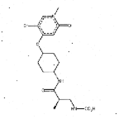 C[C@H](CNC(=O)O)C(=O)NC1CCC(Oc2cc(=O)n(C)cc2Br)CC1